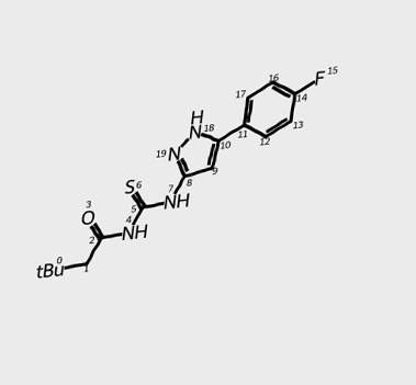 CC(C)(C)CC(=O)NC(=S)Nc1cc(-c2ccc(F)cc2)[nH]n1